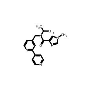 CC(C)N(Cc1ccnc(-c2ccncc2)c1)C(=O)c1cn(C)cn1